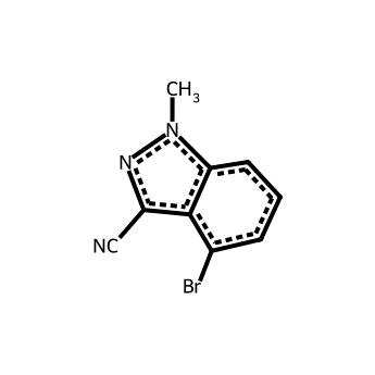 Cn1nc(C#N)c2c(Br)cccc21